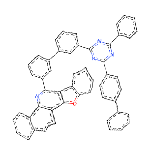 c1ccc(-c2ccc(-c3nc(-c4ccccc4)nc(-c4cccc(-c5cccc(-c6nc7c8ccccc8ccc7c7oc8ccccc8c67)c5)c4)n3)cc2)cc1